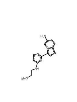 COCCNc1ccnc(-c2cnc3ccc(N)cn23)n1